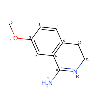 COc1ccc2c(c1)C(N)=NCC2